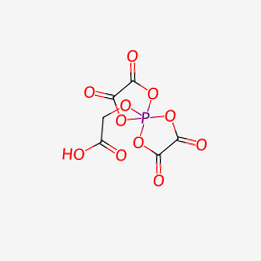 O=C(O)COP12(OC(=O)C(=O)O1)OC(=O)C(=O)O2